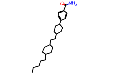 CCCCCC1CCC(CCC2CCC(c3ccc(C(N)=O)cc3)CC2)CC1